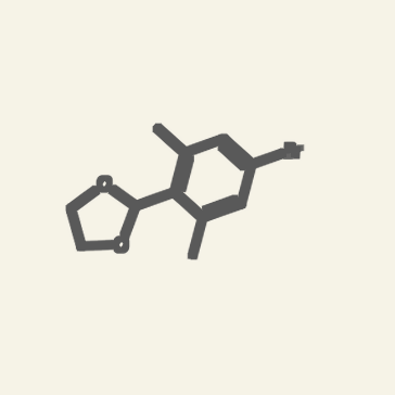 Cc1cc(Br)cc(C)c1C1OCCO1